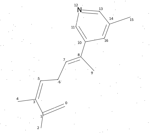 C=C(C)/C(C)=C\C/C=C(\C)c1cncc(C)c1